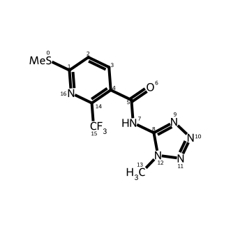 CSc1ccc(C(=O)Nc2nnnn2C)c(C(F)(F)F)n1